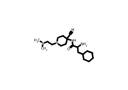 CN(C)CCN1CCC(C#N)(NC(=O)C(N)CC2CCCCC2)CC1